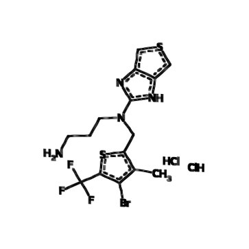 Cc1c(CN(CCCN)c2nc3cscc3[nH]2)sc(C(F)(F)F)c1Br.Cl.Cl